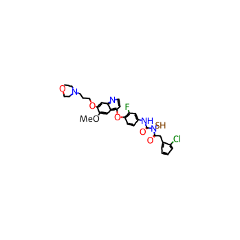 COc1cc2c(Oc3ccc(NC(=O)N(S)C(=O)Cc4ccccc4Cl)cc3F)ccnc2cc1OCCCN1CCOCC1